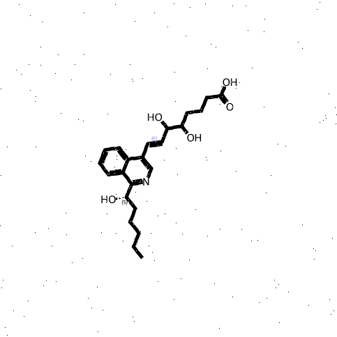 CCCCC[C@H](O)c1ncc(/C=C/C(O)C(O)CCCC(=O)O)c2ccccc12